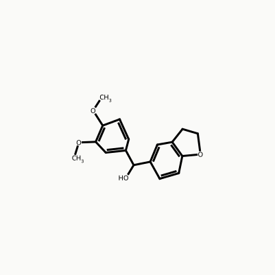 COc1ccc(C(O)c2ccc3c(c2)CCO3)cc1OC